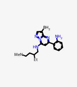 Bc1cnn2c(NCC(CC)CCNC)cc(-c3ccccc3N)nc12